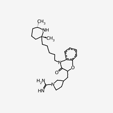 C[C@H]1CCC[C@@](C)(CCCCCN2C(=O)C(CC3CCN(C(=N)N)C3)Oc3ccccc32)N1